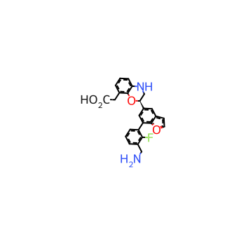 NCc1cccc(-c2cc([C@@H]3CNc4cccc(CC(=O)O)c4O3)cc3ccoc23)c1F